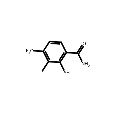 Cc1c(C(F)(F)F)ccc(C(N)=O)c1S